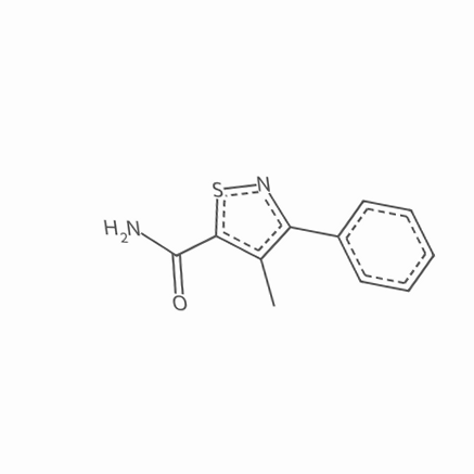 Cc1c(-c2ccccc2)nsc1C(N)=O